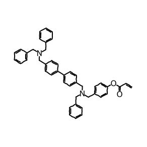 C=CC(=O)Oc1ccc(CN(Cc2ccccc2)Cc2ccc(-c3ccc(CN(Cc4ccccc4)Cc4ccccc4)cc3)cc2)cc1